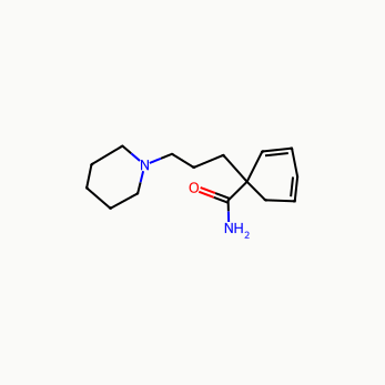 NC(=O)C1(CCCN2CCCCC2)C=CC=CC1